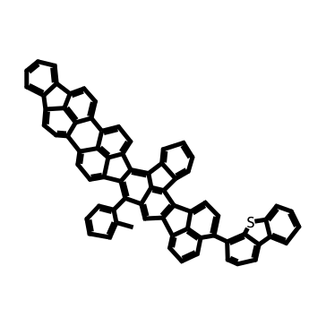 Cc1ccccc1-c1c2cc3c4cccc5c(-c6cccc7c6sc6ccccc67)ccc(c54)c3c3c4ccccc4c(c4c5ccc6c7ccc8c9c(ccc(c%10ccc(c14)c5c%106)c97)-c1ccccc1-8)c23